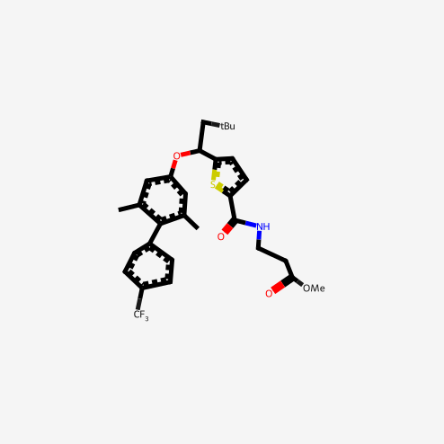 COC(=O)CCNC(=O)c1ccc(C(CC(C)(C)C)Oc2cc(C)c(-c3ccc(C(F)(F)F)cc3)c(C)c2)s1